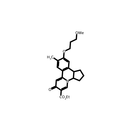 CCOC(=O)c1cn2c(cc1=O)-c1cc(C)c(OCCCOC)cc1C1CCCC12